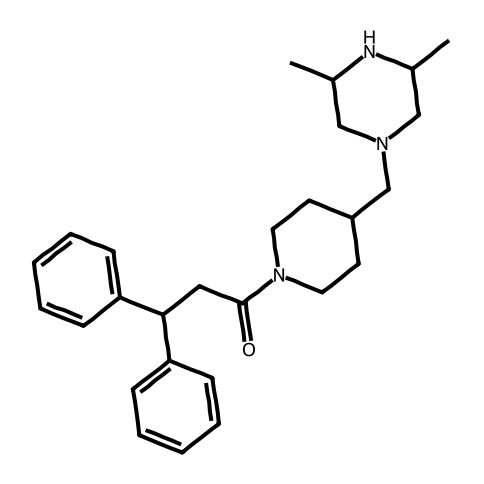 CC1CN(CC2CCN(C(=O)CC(c3ccccc3)c3ccccc3)CC2)CC(C)N1